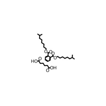 CC(C)CCCCCCOC(=O)c1ccccc1C(=O)OCCCCCCC(C)C.O=C(O)CCCCC(=O)O